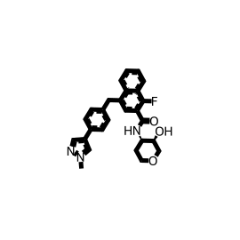 Cn1cc(-c2ccc(Cc3cc(C(=O)N[C@H]4CCOC[C@@H]4O)c(F)c4ccccc34)cc2)cn1